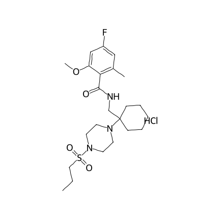 CCCS(=O)(=O)N1CCN(C2(CNC(=O)c3c(C)cc(F)cc3OC)CCCCC2)CC1.Cl